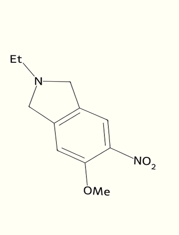 CCN1Cc2cc(OC)c([N+](=O)[O-])cc2C1